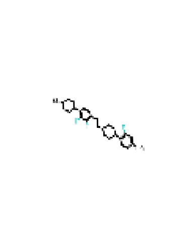 CCCc1ccc(C2CCC(CCc3ccc(C4CCC(CC)CC4)c(F)c3F)CC2)c(F)c1